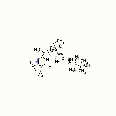 CCS(=O)(=O)c1cc(BOC(C)(C)C(C)(C)O)cnc1-c1nc(/C=C(\N(C=O)C2CC2)C(F)(F)F)c(C)n1C